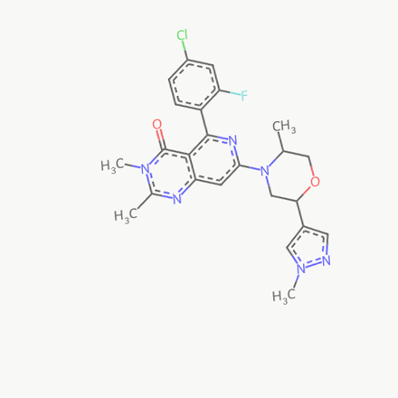 Cc1nc2cc(N3CC(c4cnn(C)c4)OCC3C)nc(-c3ccc(Cl)cc3F)c2c(=O)n1C